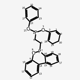 C1=CC(OP(CCP2Oc3ccccc3-c3ccccc32)Oc2ccccc2)=CCC1